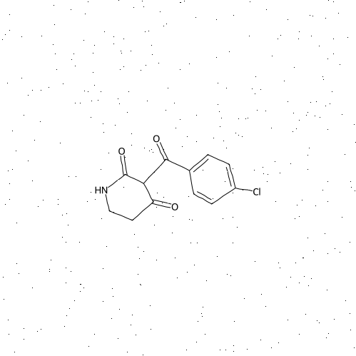 O=C1CCNC(=O)C1C(=O)c1ccc(Cl)cc1